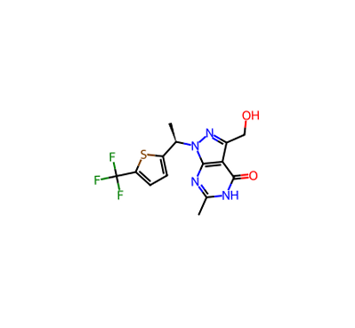 Cc1nc2c(c(CO)nn2[C@H](C)c2ccc(C(F)(F)F)s2)c(=O)[nH]1